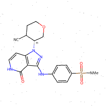 CNS(=O)(=O)c1ccc(Nc2nn([C@H]3COCCC3C#N)c3cc[nH]c(=O)c23)cc1